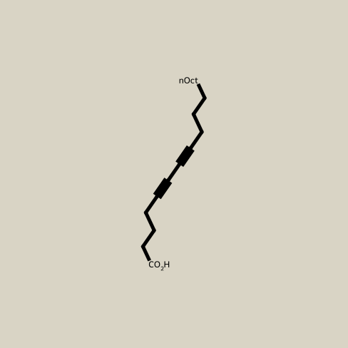 CCCCCCCCCCCC#CC#CCCCC(=O)O